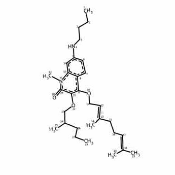 CCCCNc1ccc2c(OC/C=C(\C)CCC=C(C)C)c(OCC(C)CCC)c(=O)n(C)c2c1